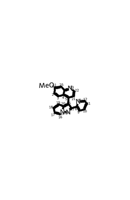 COc1ccc2c(-c3c(-c4ccccn4)nn4ccccc34)ccnc2c1